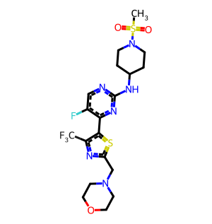 CS(=O)(=O)N1CCC(Nc2ncc(F)c(-c3sc(CN4CCOCC4)nc3C(F)(F)F)n2)CC1